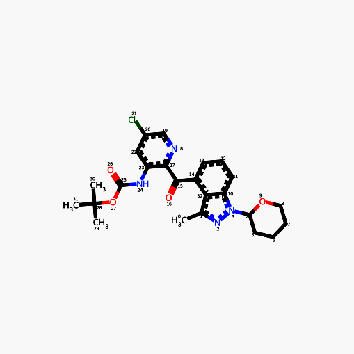 Cc1nn(C2CCCCO2)c2cccc(C(=O)c3ncc(Cl)cc3NC(=O)OC(C)(C)C)c12